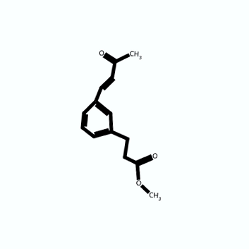 COC(=O)CCc1cccc(C=CC(C)=O)c1